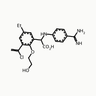 C=C(Cl)c1cc(CC)cc(C(Nc2ccc(C(=N)N)cc2)C(=O)O)c1OCCO